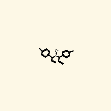 C=CC(c1ccc(C)cc1)[S+]([O-])C(C=C)c1ccc(C)cc1